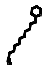 C#CCCCCCCCCCOC1CCCCO1